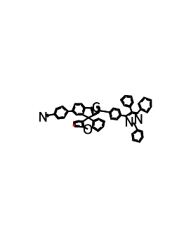 N#Cc1ccc(-c2ccc3c(c2)C2(c4ccccc4Oc4ccccc42)c2cc(-c4ccc(-c5nc(-c6ccccc6)nc(-c6ccccc6)c5-c5ccccc5)cc4)ccc2-3)cc1